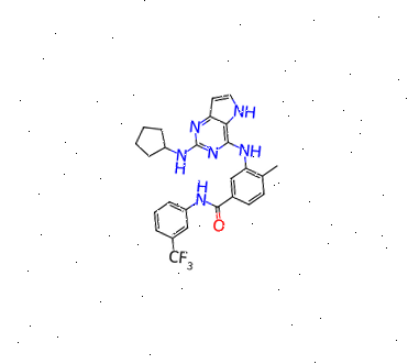 Cc1ccc(C(=O)Nc2cccc(C(F)(F)F)c2)cc1Nc1nc(NC2CCCC2)nc2cc[nH]c12